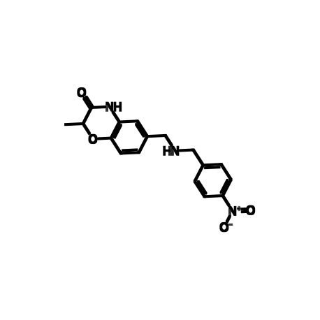 CC1Oc2ccc(CNCc3ccc([N+](=O)[O-])cc3)cc2NC1=O